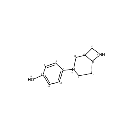 Oc1ccc(N2CCC3NCC3C2)cc1